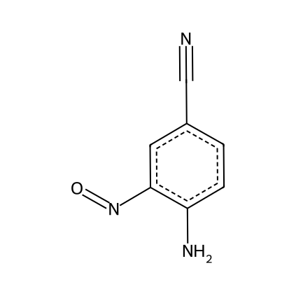 N#Cc1ccc(N)c(N=O)c1